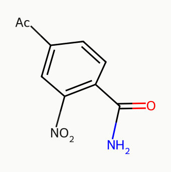 CC(=O)c1ccc(C(N)=O)c([N+](=O)[O-])c1